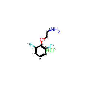 Cl.NCCOc1c(F)cccc1F